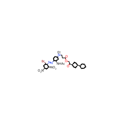 CCN(CCC(=O)OCC(=O)c1ccc(-c2ccccc2)cc1)c1ccc(N=Nc2c(Br)cc([N+](=O)[O-])cc2[N+](=O)[O-])c(NC(C)=O)c1